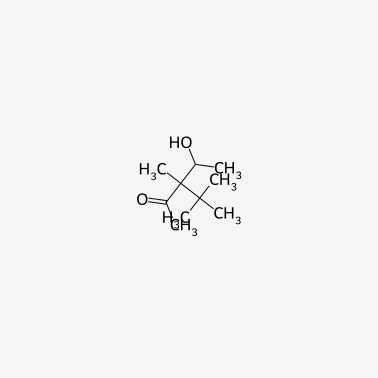 CC(=O)C(C)(C(C)O)C(C)(C)C